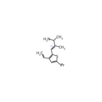 C=Cc1cc(C(C)C)sc1/C=C(\C)C(C)N